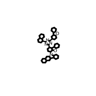 c1ccc2cc3c(cc2c1)c1ccccc1n3-c1ccc(-c2nc(-c3ccc4oc5ccccc5c4c3)nc(-c3cccc4ccccc34)n2)c2c1oc1ccccc12